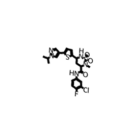 CC(C)n1cc(-c2ccc(C3CC(C(=O)Nc4ccc(F)c(Cl)c4)N(C)S(=O)(=O)N3)s2)cn1